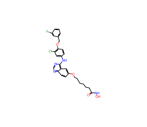 O=C(CCCCCCOc1ccc2ncnc(Nc3ccc(OCc4cccc(F)c4)c(Cl)c3)c2c1)NO